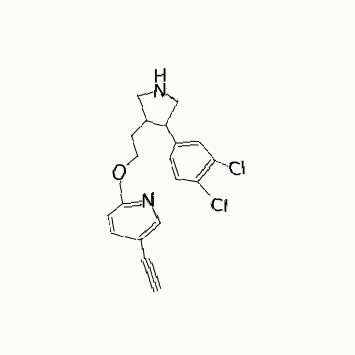 C#Cc1ccc(OCCC2CNCC2c2ccc(Cl)c(Cl)c2)nc1